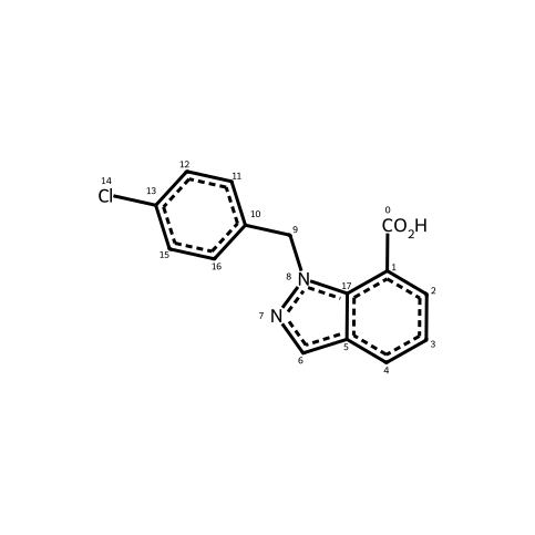 O=C(O)c1cccc2cnn(Cc3ccc(Cl)cc3)c12